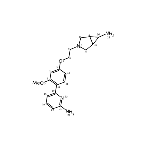 COc1cc(OCCN2CC3C(N)C3C2)ccc1-c1cccc(N)n1